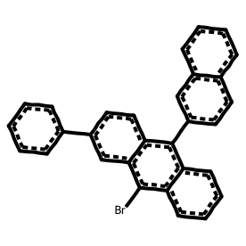 Brc1c2ccccc2c(-c2ccc3ccccc3c2)c2ccc(-c3ccccc3)cc12